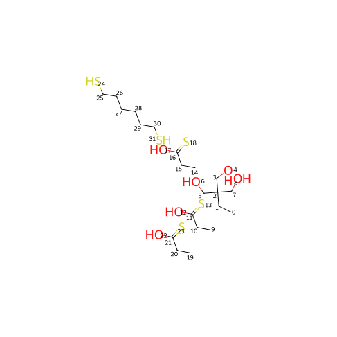 CCC(CO)(CO)CO.CCC(O)=S.CCC(O)=S.CCC(O)=S.SCCCCCCS